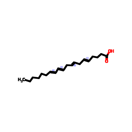 CCCCCC/C=C/C=C/C/C=C/C/C=C/CCCC(=O)O